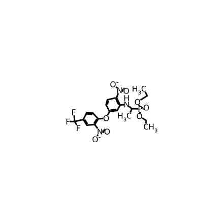 CCOP(=O)(OCC)C(C)Nc1cc(Oc2ccc(C(F)(F)F)cc2[N+](=O)[O-])ccc1[N+](=O)[O-]